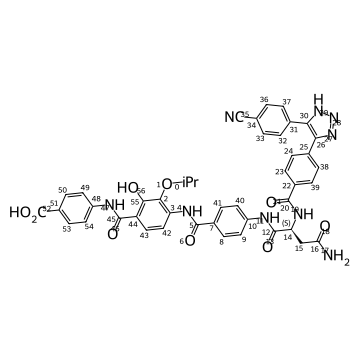 CC(C)Oc1c(NC(=O)c2ccc(NC(=O)[C@H](CC(N)=O)NC(=O)c3ccc(-c4nn[nH]c4-c4ccc(C#N)cc4)cc3)cc2)ccc(C(=O)Nc2ccc(C(=O)O)cc2)c1O